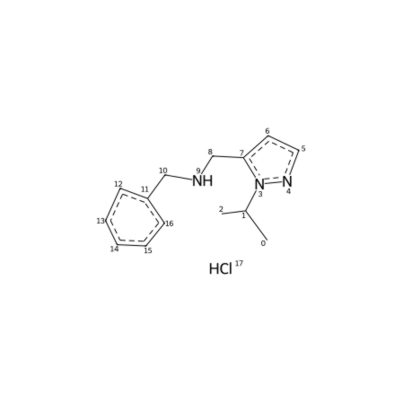 CC(C)n1nccc1CNCc1ccccc1.Cl